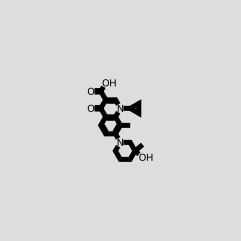 Cc1c(N2CCCC(C)(O)C2)ccc2c(=O)c(C(=O)O)cn(C3CC3)c12